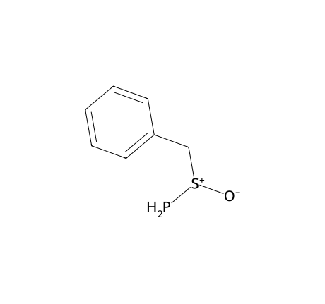 [O-][S+](P)Cc1ccccc1